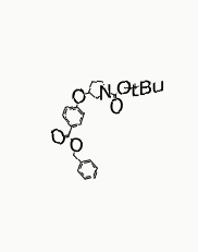 CC(C)(C)OC(=O)N1CCC(Oc2ccc(C(=O)OCc3ccccc3)cc2)C1